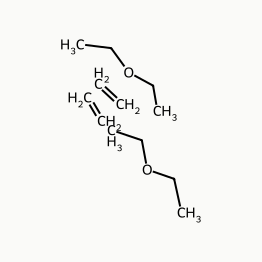 C=C.C=C.CCOCC.CCOCC